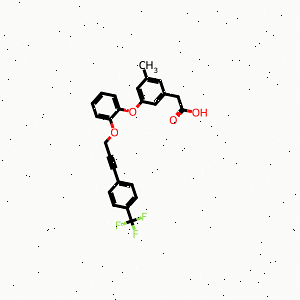 Cc1cc(CC(=O)O)cc(Oc2ccccc2OCC#Cc2ccc(C(F)(F)F)cc2)c1